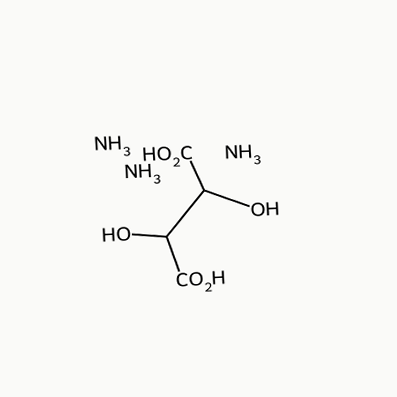 N.N.N.O=C(O)C(O)C(O)C(=O)O